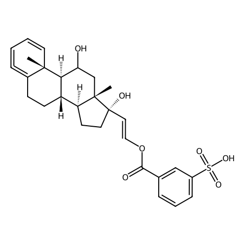 C[C@]12C=CC=C=C1CC[C@@H]1[C@@H]2C(O)C[C@@]2(C)[C@H]1CC[C@]2(O)C=COC(=O)c1cccc(S(=O)(=O)O)c1